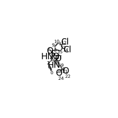 C#CC[C@@H](NS(=O)(=O)c1ccc(Cl)c(Cl)c1)C(=O)NCC(OC)OC